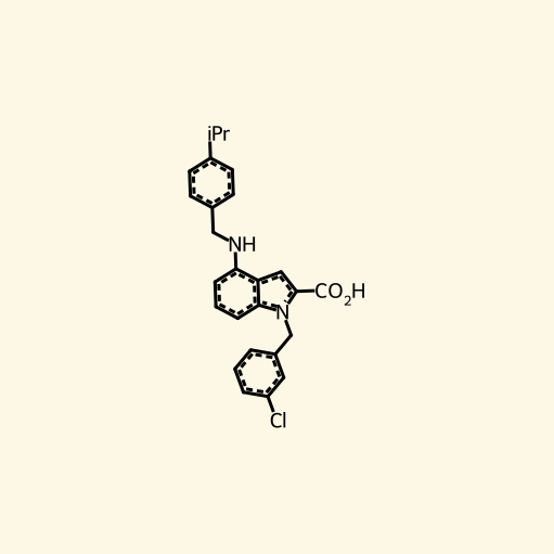 CC(C)c1ccc(CNc2cccc3c2cc(C(=O)O)n3Cc2cccc(Cl)c2)cc1